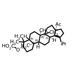 CC(=O)[C@]12CCC(C(C)C)=C1[C@H]1CC[C@@H]3[C@@]4(C)CC[C@H](OC(=O)O)C(C)(C)[C@@H]4CC[C@@]3(C)[C@]1(C)CC2